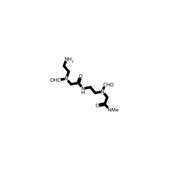 CNC(=O)CN(C=O)CCNC(=O)CN(C=O)CCN